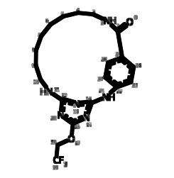 O=C1NCCCCCCCCNc2nc(nc(OCC(F)(F)F)n2)Nc2ccc1cc2